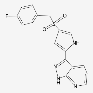 O=S(=O)(Cc1ccc(F)cc1)c1c[nH]c(-c2n[nH]c3ncccc23)c1